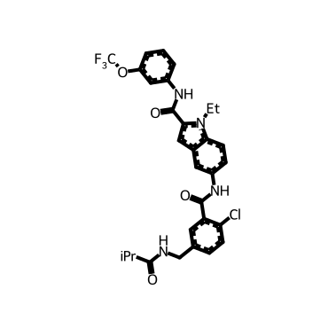 CCn1c(C(=O)Nc2cccc(OC(F)(F)F)c2)cc2cc(NC(=O)c3cc(CNC(=O)C(C)C)ccc3Cl)ccc21